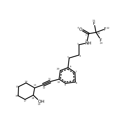 O=C(NCCCc1cccc(C#CC2CCCCC2O)c1)C(F)(F)F